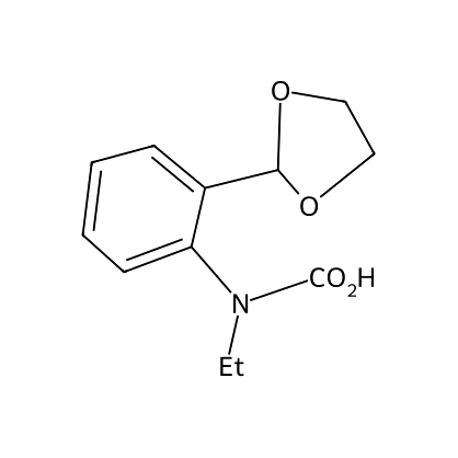 CCN(C(=O)O)c1ccccc1C1OCCO1